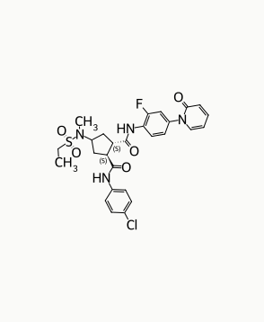 CCS(=O)(=O)N(C)C1C[C@H](C(=O)Nc2ccc(Cl)cc2)[C@@H](C(=O)Nc2ccc(-n3ccccc3=O)cc2F)C1